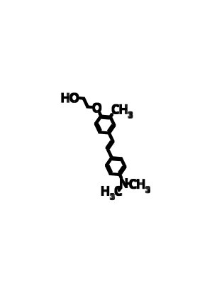 Cc1cc(/C=C/c2ccc(N(C)C)cc2)ccc1OCCO